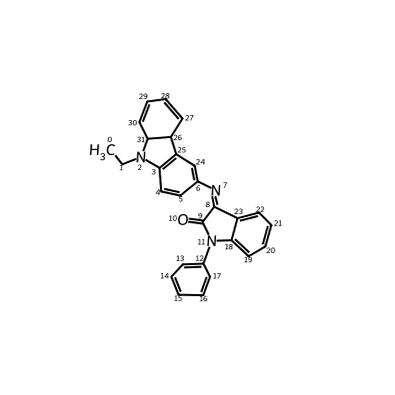 CCN1c2ccc(/N=C3\C(=O)N(c4ccccc4)c4ccccc43)cc2C2C=CC=CC21